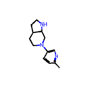 Cc1ccc(N2CCC3CCNC3C2)cn1